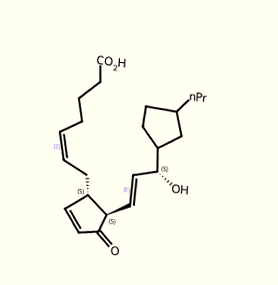 CCCC1CCC([C@H](O)/C=C/[C@H]2C(=O)C=C[C@@H]2C/C=C\CCCC(=O)O)C1